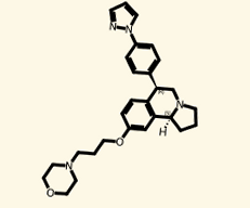 c1cnn(-c2ccc([C@H]3CN4CCC[C@H]4c4cc(OCCCN5CCOCC5)ccc43)cc2)c1